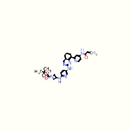 C=CC(=O)Nc1ccnc(-c2cccc3cnc(Nc4ccc(NC5CN(C(=O)OC(C)(C)C)C5)nc4)nc23)c1